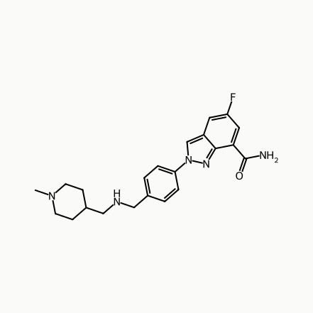 CN1CCC(CNCc2ccc(-n3cc4cc(F)cc(C(N)=O)c4n3)cc2)CC1